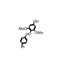 COc1cc(O)cc(OC)c1OSc1ccc(C(C)C)cc1